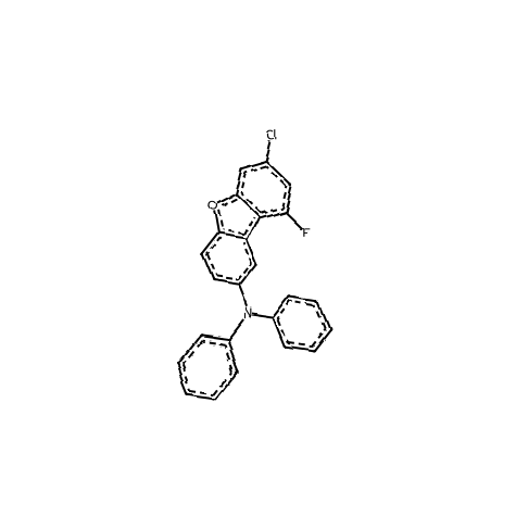 Fc1cc(Cl)cc2oc3ccc(N(c4ccccc4)c4ccccc4)cc3c12